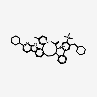 C=C1C[n+]2ccc(C)cc2-c2c(ccc3c2oc2nc(C4CCCCC4)ccc23)CCC2c3ccccc3-c3cc(CC4CCCCC4)c([Si](C)(C)C)c[n+]3C12